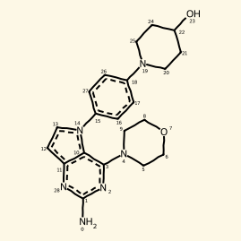 Nc1nc(N2CCOCC2)c2c(ccn2-c2ccc(N3CCC(O)CC3)cc2)n1